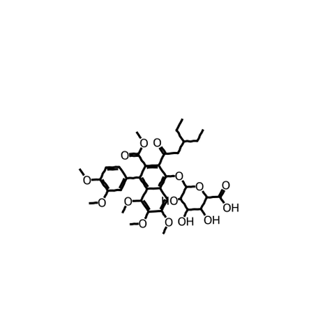 CCC(CC)CC(=O)c1c(C(=O)OC)c(-c2ccc(OC)c(OC)c2)c2c(OC)c(OC)c(OC)cc2c1OC1OC(C(=O)O)C(O)C(O)C1O